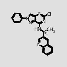 C[C@@H](Nc1nc(Cl)nc2cn(-c3ccccc3)nc12)c1cnc2ccccc2c1